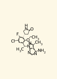 CCOc1c([C@@H](C)n2nc(C)c3c(N)ncnc32)cc(Cl)c(F)c1[C@@H]1CNC(=O)C1